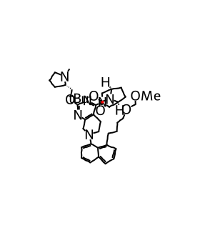 COCOCCCCc1cccc2cccc(N3CCc4c(nc(OC[C@@H]5CCCN5C)nc4N4C[C@H]5CC[C@@H](C4)N5C(=O)OC(C)(C)C)C3)c12